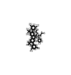 [CH2]=[Zr]([CH2]CCC)([CH2]CCC)([CH]1C=CC=C1)[CH]1c2cc(-c3cc(C)cc(C)c3)c(C(C)(C)C)cc2-c2cc(C(C)(C)C)c(-c3cc(C)cc(C)c3)cc21